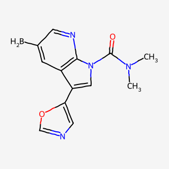 Bc1cnc2c(c1)c(-c1cnco1)cn2C(=O)N(C)C